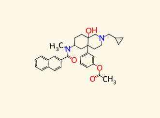 CC(=O)Oc1cccc(C23CCN(CC4CC4)CC2(O)CCC(N(C)C(=O)c2ccc4ccccc4c2)C3)c1